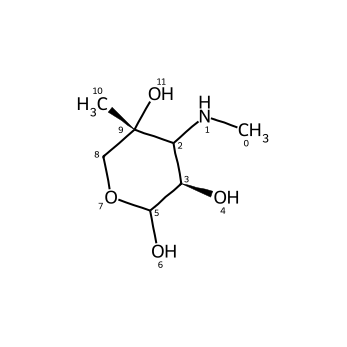 CNC1[C@@H](O)C(O)OC[C@]1(C)O